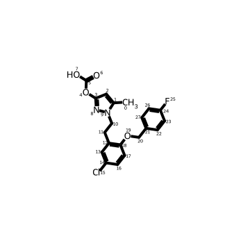 Cc1cc(OC(=O)O)nn1CCc1cc(Cl)ccc1OCc1ccc(F)cc1